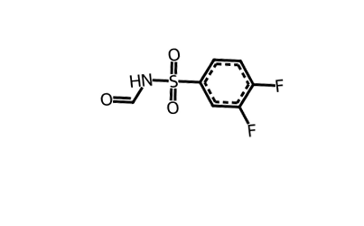 O=CNS(=O)(=O)c1ccc(F)c(F)c1